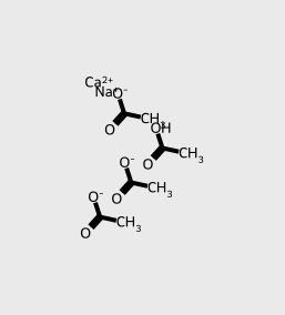 CC(=O)O.CC(=O)[O-].CC(=O)[O-].CC(=O)[O-].[Ca+2].[Na+]